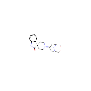 CCOC(=O)N1C2COCC1CC(N1CCC3(CC1)C(=O)Nc1ccccc13)C2